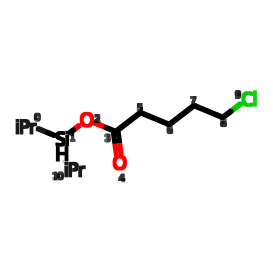 CC(C)[SiH](OC(=O)CCCCCl)C(C)C